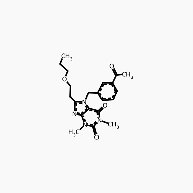 CCCOCCc1nc2c(c(=O)n(C)c(=O)n2C)n1Cc1cccc(C(C)=O)c1